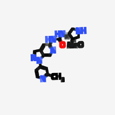 CO[C@@H]1CNC[C@H]1NC(=O)Nc1cc2cnn(-c3ccnc(C)c3)c2cn1